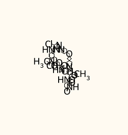 CNC(=O)COc1cc2cc(Nc3nc(N4CCC(OC5CC6(CCN(c7ccc(C(=O)NC8CCC(=O)NC8=O)c(OC)c7)CC6)C5)CC4)ncc3Cl)ccc2n(C(C)C)c1=O